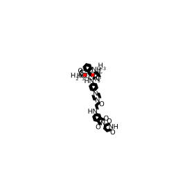 Cc1cnc(Nc2ccc(N3CCN(C(=O)CCNc4ccc5c(c4)C(=O)N(C4CCC(=O)NC4=O)C5=O)CC3)cc2)nc1Nc1cccc(S(N)(=O)=O)c1C(C)(C)C